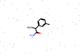 CNC(C(N)=O)c1cccc(C)c1